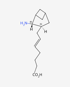 N[C@@H]1C2CC(C2)C[C@H]1CC=CCCCC(=O)O